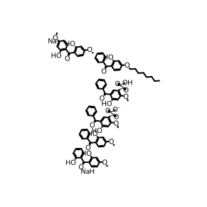 CCCCCCCCOc1ccc(C(=O)c2ccccc2)c(O)c1.COc1cc(O)c(C(=O)c2ccccc2)cc1S(=O)(=O)O.COc1cc(O)c(C(=O)c2ccccc2)cc1S(=O)(=O)[O-].COc1ccc(C(=O)c2ccc(OC)cc2O)c(O)c1.COc1ccc(C(=O)c2ccccc2)c(O)c1.COc1ccc(C(=O)c2ccccc2O)c(O)c1.[Na+].[NaH]